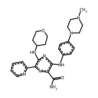 CN1CCN(c2ccc(Nc3nc(NC4CCOCC4)c(-c4ccccn4)nc3C(N)=O)cc2)CC1